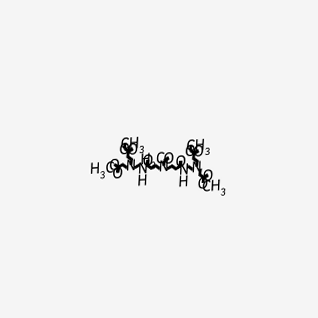 COC(=O)CCN(CCNC(=O)CCCN(CCCC(=O)NCCN(CCC(=O)OC)CCC(=O)OC)C(C)=O)CCC(=O)OC